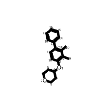 Cc1c(OC2CCOCC2)ccc(-c2ccccc2)c1C